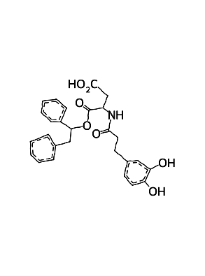 O=C(O)CC(NC(=O)CCc1ccc(O)c(O)c1)C(=O)OC(Cc1ccccc1)c1ccccc1